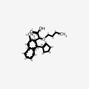 CCCCOC(C(=O)O)c1c(C)cc2ccccc2c1C1=CCCC1